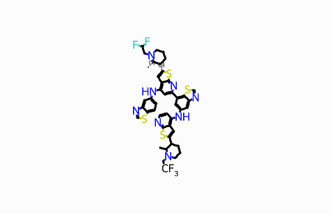 CC1C(c2cc3c(Nc4cc(-c5cc(Nc6ccc7scnc7c6)c6cc([C@H]7CCCN(CC(F)F)[C@H]7C)sc6n5)c5scnc5c4)ccnc3s2)CCCN1CC(F)(F)F